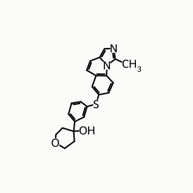 Cc1ncc2ccc3cc(Sc4cccc(C5(O)CCOCC5)c4)ccc3n12